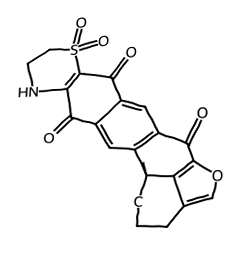 CC12CCCc3coc(c31)C(=O)c1cc3c(cc12)C(=O)C1=C(C3=O)S(=O)(=O)CCN1